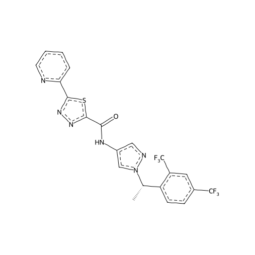 C[C@@H](c1ccc(C(F)(F)F)cc1C(F)(F)F)n1cc(NC(=O)c2nnc(-c3ccccn3)s2)cn1